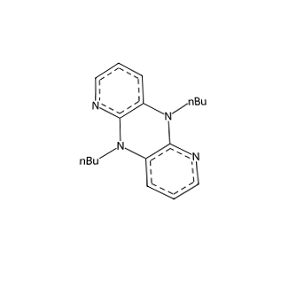 CCCCN1c2cccnc2N(CCCC)c2cccnc21